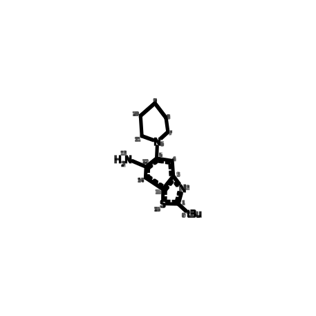 CC(C)(C)c1nc2cc(N3CCCCC3)c(N)cc2s1